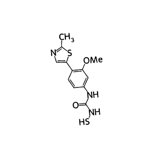 COc1cc(NC(=O)NS)ccc1-c1cnc(C)s1